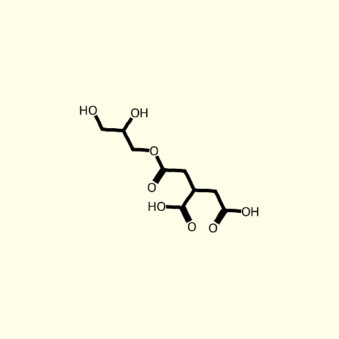 O=C(O)CC(CC(=O)OCC(O)CO)C(=O)O